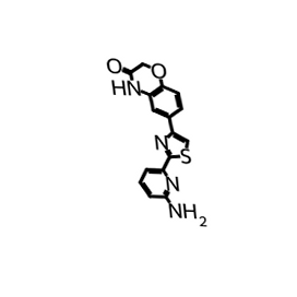 Nc1cccc(-c2nc(-c3ccc4c(c3)NC(=O)CO4)cs2)n1